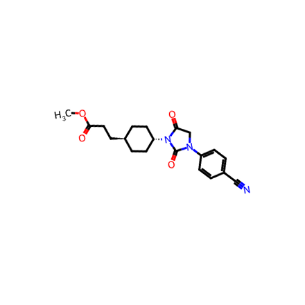 COC(=O)CC[C@H]1CC[C@H](N2C(=O)CN(c3ccc(C#N)cc3)C2=O)CC1